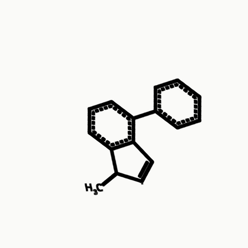 CC1[C]=Cc2c(-c3ccccc3)cccc21